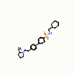 CC1CCCN1CCc1ccc(-c2ccc(S(=O)(=O)NCC3CCCCC3)cc2)cc1